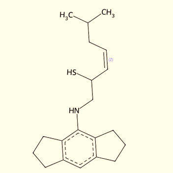 CC(C)C/C=C\C(S)CNc1c2c(cc3c1CCC3)CCC2